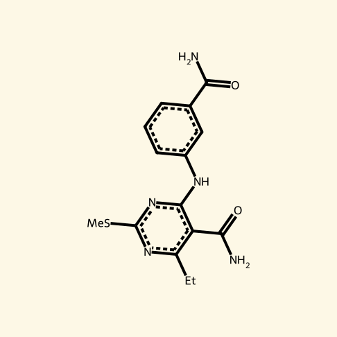 CCc1nc(SC)nc(Nc2cccc(C(N)=O)c2)c1C(N)=O